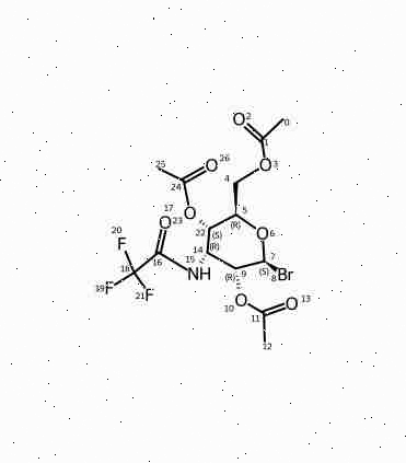 CC(=O)OC[C@H]1O[C@@H](Br)[C@H](OC(C)=O)[C@H](NC(=O)C(F)(F)F)[C@@H]1OC(C)=O